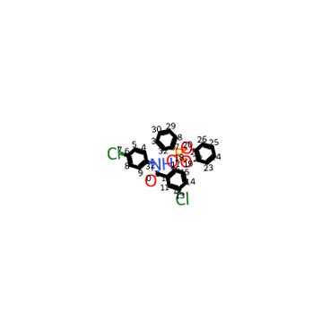 O=C(Nc1ccc(Cl)cc1)c1cc(Cl)ccc1OP(=O)(Oc1ccccc1)c1ccccc1